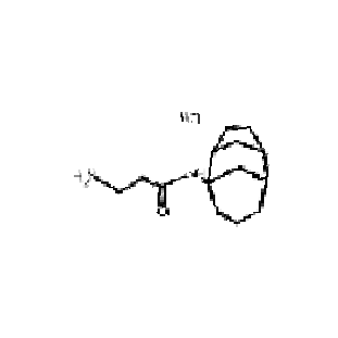 Cl.NCCC(=O)NC12CCCC(C1)C1CCC2C1